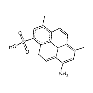 CC1=C2C=Cc3c(C)cc(S(=O)(=O)O)c4c3C2C(=CC4)C(N)=C1